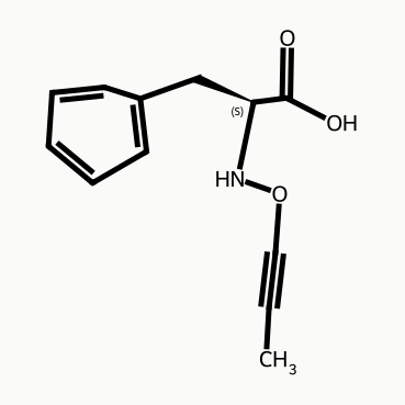 CC#CON[C@@H](Cc1ccccc1)C(=O)O